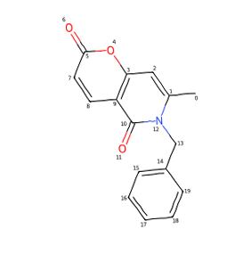 Cc1cc2oc(=O)ccc2c(=O)n1Cc1ccccc1